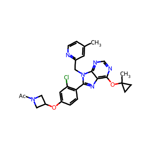 CC(=O)N1CC(Oc2ccc(-c3nc4c(OC5(C)CC5)ncnc4n3Cc3cc(C)ccn3)c(Cl)c2)C1